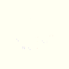 O=S(=O)(N[C@H](c1ccc(F)cc1)C(F)(F)F)c1cc2ncccn2n1